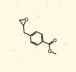 COC(=O)c1ccc(CC2CO2)cc1